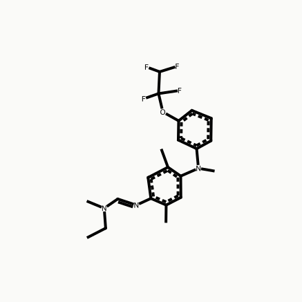 CCN(C)C=Nc1cc(C)c(N(C)c2cccc(OC(F)(F)C(F)F)c2)cc1C